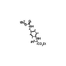 CCOC(=O)C(Nc1ccc(CNC(=O)OC(C)(C)C)cc1)C(C)C